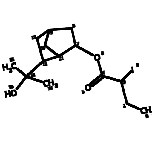 CCC(I)C(=O)OC1CC2CC1C(C(C)(C)O)C2